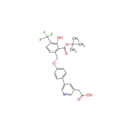 CC(C)(C)OC(=O)c1c(COc2ccc(-c3cncc(CC(=O)O)c3)cc2)ccc(C(F)(F)F)c1O